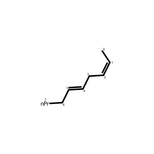 C/C=C\CC=CCCCC